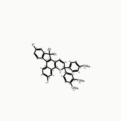 CCC1(CC)c2cc(F)ccc2-c2c1c1c(c3cc(I)ccc23)OC(c2ccc(OC)cc2)(c2ccc(OC)c(OC)c2)C=C1